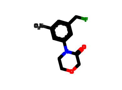 O=C1COCCN1c1cc(CF)cc([N+](=O)[O-])c1